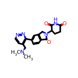 CN(C)Cc1ccnnc1-c1ccc2c(c1)CN(C1CCC(=O)NC1=O)C2=O